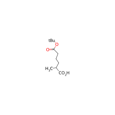 CC(CCCC(=O)OC(C)(C)C)C(=O)O